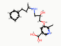 Cc1ncc(C(O)O)cc1OCC(O)CNC(C)CCc1ccccc1